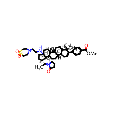 COC(=O)c1ccc(C2=CC[C@]3(C)[C@H]4CC[C@@H]5[C@H]6[C@H](C(C)N7CCCC7=O)CC[C@]6(NCCN6CCS(=O)(=O)CC6)CC[C@@]5(C)[C@]4(C)CC[C@H]3C2(C)C)cc1